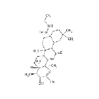 C[C@@H]1C(O)C(C#N)=C[C@]2(C)C3=CC(=O)C4C5CC(C)(C)CC[C@]5(C(=O)NCC(F)(F)F)CC[C@@]4(C)[C@]3(C)CC[C@@H]12